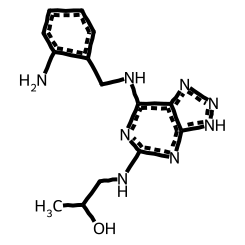 CC(O)CNc1nc(NCc2ccccc2N)c2nn[nH]c2n1